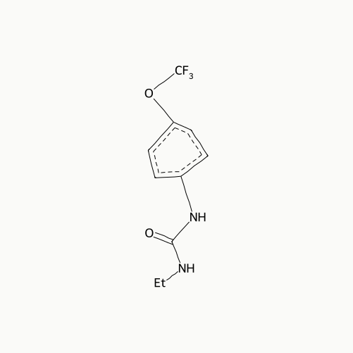 CCNC(=O)Nc1ccc(OC(F)(F)F)cc1